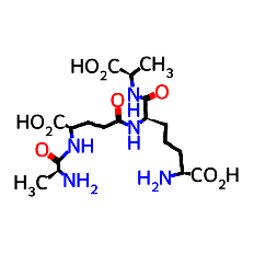 C[C@H](N)C(=O)N[C@H](CCC(=O)N[C@H](CCC[C@H](N)C(=O)O)C(=O)N[C@H](C)C(=O)O)C(=O)O